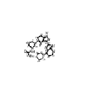 CCCCC(=O)Nc1cncc(-c2ccc3[nH]nc(-c4nc5c(N6CCCCC6)ccnc5[nH]4)c3c2F)c1